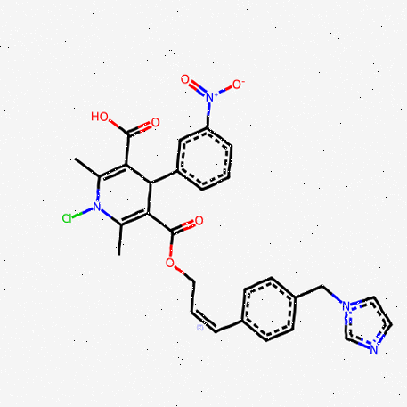 CC1=C(C(=O)O)C(c2cccc([N+](=O)[O-])c2)C(C(=O)OC/C=C\c2ccc(Cn3ccnc3)cc2)=C(C)N1Cl